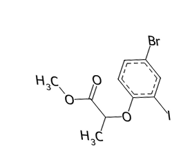 COC(=O)C(C)Oc1ccc(Br)cc1I